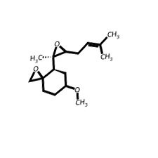 COC1CCC2(CO2)[C@@H]([C@@]2(C)OC2CC=C(C)C)C1